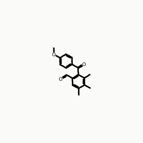 COc1ccc(C(=O)c2c(C=O)cc(C)c(C)c2C)cc1